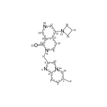 Cc1ccc2nc(Cn3ccc4c(N5CCC5)cncc4c3=O)cn2c1